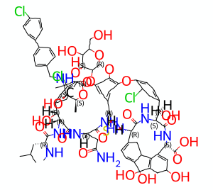 CN[C@H](CC(C)C)C(=O)N[C@H]1C(=O)N[C@@H](CC(N)=O)C(=O)N[C@H]2C(=S)N[C@H]3C(=O)N[C@H](C(=O)N[C@H](C(=O)O)C4=CC(O)CC5=C4C4CC3=CC=C4C5(O)O)[C@H](O)C3=CC=C(Oc4cc2cc(c4O[C@H]2OC(CO)C(O)[C@H](O)C2O[C@H]2CC(C)(NCc4ccc(-c5ccc(Cl)cc5)cc4)[C@H](O)[C@H](C)O2)OC2=C(Cl)C=C(CC2)[C@H]1O)C(Cl)C3